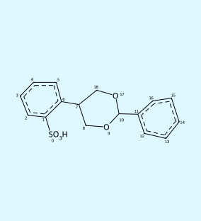 O=S(=O)(O)c1ccccc1C1COC(c2ccccc2)OC1